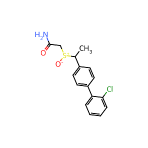 CC(c1ccc(-c2ccccc2Cl)cc1)[S+]([O-])CC(N)=O